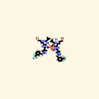 O=CCCC1NC(C2CC2)=Nc2c1nc(-c1cnn(Cc3cccc(C(F)(F)F)c3)c1)n2CO[PH](=O)OCn1c(-c2cnn(Cc3cccc(C(F)(F)F)c3)c2)nc2c1N=C(C1CC1)NC2CCC=O